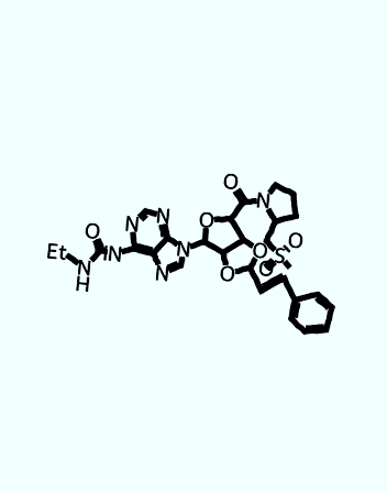 CCNC(=O)Nc1ncnc2c1ncn2C1OC(C(=O)N2CCCC2CS(C)(=O)=O)C2OC(/C=C/c3ccccc3)OC21